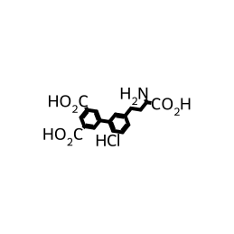 Cl.NC(CCc1cccc(-c2cc(C(=O)O)cc(C(=O)O)c2)c1)C(=O)O